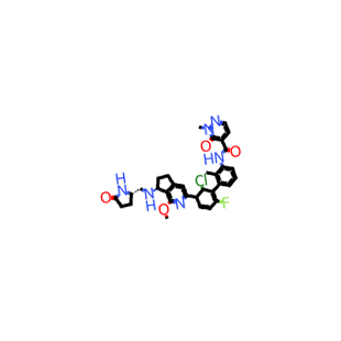 COc1nc(C2C=CC(F)=C(c3cccc(NC(=O)c4ccnn(C)c4=O)c3C)C2Cl)cc2c1[C@@H](NC[C@@H]1CCC(=O)N1)CC2